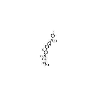 CC(=O)NC[C@H]1CN(c2ccc(-c3ccc(CNC[C@H](O)c4ccc(F)cc4)cc3)c(F)c2)C(=O)O1